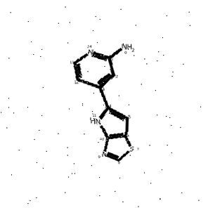 Nc1cc(-c2cc3scnc3[nH]2)ccn1